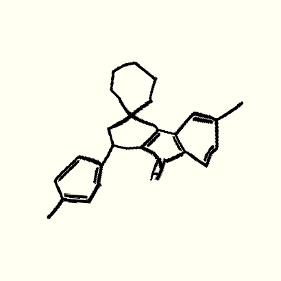 Cc1ccc(C2CC3(CCCCC3)c3c2[nH]c2ccc(C)cc32)cc1